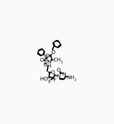 C[C@H](NP(=O)(OCC[C@H]1O[C@@H](n2ccc(N)nc2=O)C(F)(F)[C@@H]1O)Oc1ccccc1)C(=O)OCc1ccccc1